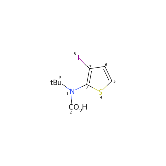 CC(C)(C)N(C(=O)O)c1sccc1I